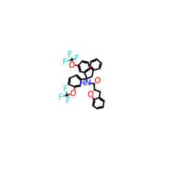 O=C(NC(Cc1ccccc1)(c1cccc(OC(F)(F)F)c1)c1cccc(OC(F)(F)F)c1)C1Cc2ccccc2O1